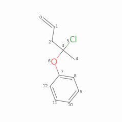 C=CCC(C)(Cl)Oc1ccccc1